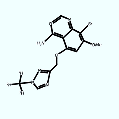 [2H]C([2H])([2H])n1cnc(COc2cc(OC)c(Br)c3ncnc(N)c23)n1